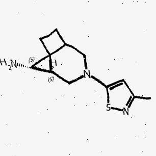 Cc1cc(N2CC3CCC34[C@@H](N)[C@@H]4C2)sn1